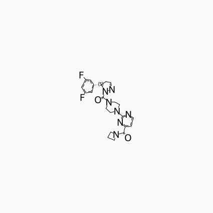 O=C(c1ccnc(N2CCN(C(=O)N3N=CC[C@H]3c3cc(F)cc(F)c3)CC2)n1)N1CCC1